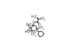 C=C(C(=O)OC1(C(F)(F)F)CC(C2CCCCC2)(C(F)(F)F)OC(O)(C(F)(F)F)C1(F)F)C(F)(F)F